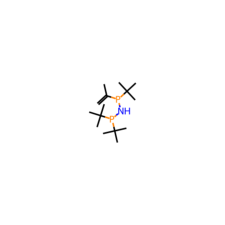 C=C(C)P(NP(C(C)(C)C)C(C)(C)C)C(C)(C)C